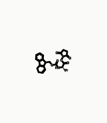 CC(C)[C@H](NC(=O)OCC1C2=C(CCC=C2)c2ccccc21)C(=O)ON1C(=O)CCC1=O